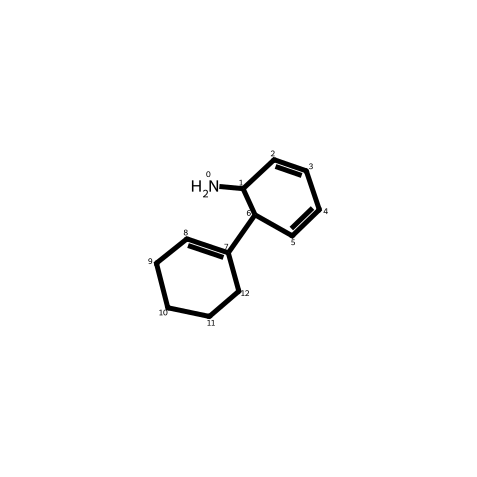 NC1C=CC=CC1C1=CCCCC1